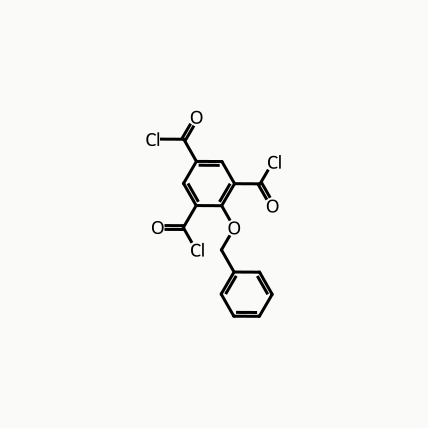 O=C(Cl)c1cc(C(=O)Cl)c(OCc2ccccc2)c(C(=O)Cl)c1